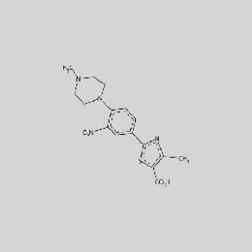 Cc1nc(-c2ccc(N3CCN(C)CC3)c([N+](=O)[O-])c2)sc1C(=O)O